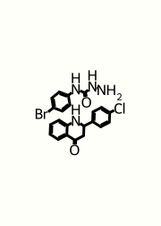 NNC(=O)Nc1ccc(Br)cc1.O=C1CC(c2ccc(Cl)cc2)Nc2ccccc21